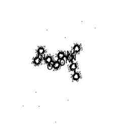 c1ccc(-c2ccc(-c3nc(-c4ccccc4)nc(-c4cccc5c4oc4ccc6oc7cc(-n8c9ccccc9c9ccccc98)ccc7c6c45)n3)cc2)cc1